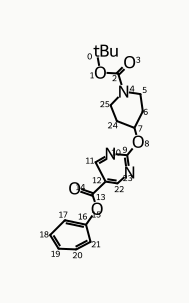 CC(C)(C)OC(=O)N1CCC(Oc2ncc(C(=O)Oc3ccccc3)cn2)CC1